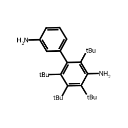 CC(C)(C)c1c(N)c(C(C)(C)C)c(C(C)(C)C)c(C(C)(C)C)c1-c1cccc(N)c1